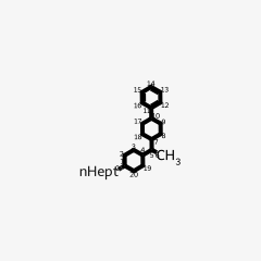 CCCCCCCC1CCC(C(C)C2CCC(c3ccccc3)CC2)CC1